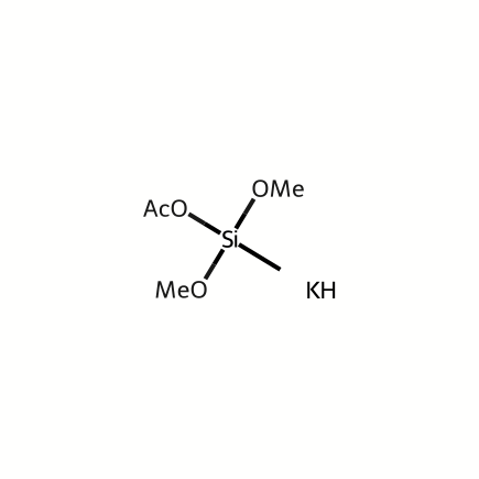 CO[Si](C)(OC)OC(C)=O.[KH]